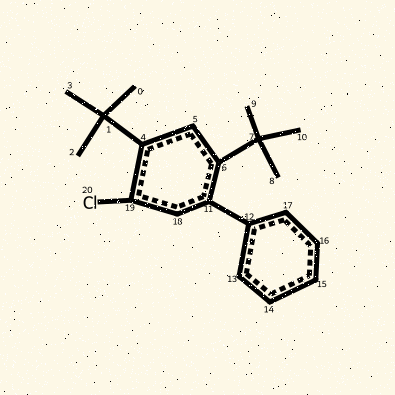 CC(C)(C)c1cc(C(C)(C)C)c(-c2ccccc2)cc1Cl